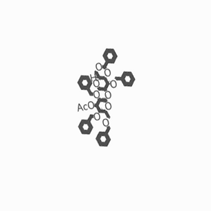 CC(=O)OC1C(OCc2ccccc2)[C@@H](OC2CO[C@H]3COC(c4ccccc4)OC3[C@@H]2OCc2ccccc2)OC(COCc2ccccc2)[C@H]1OCc1ccccc1